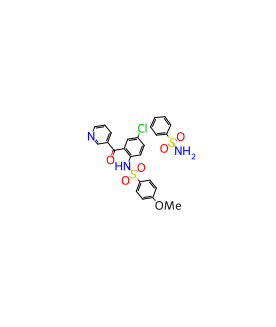 COc1ccc(S(=O)(=O)Nc2ccc(Cl)cc2C(=O)c2cccnc2)cc1.NS(=O)(=O)c1ccccc1